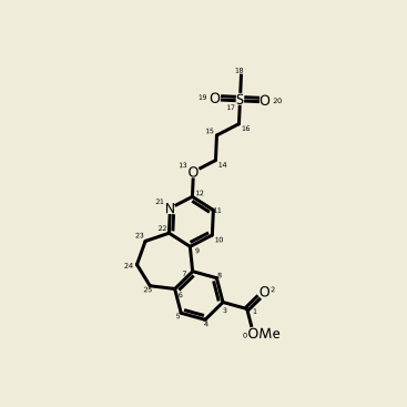 COC(=O)c1ccc2c(c1)-c1ccc(OCCCS(C)(=O)=O)nc1CCC2